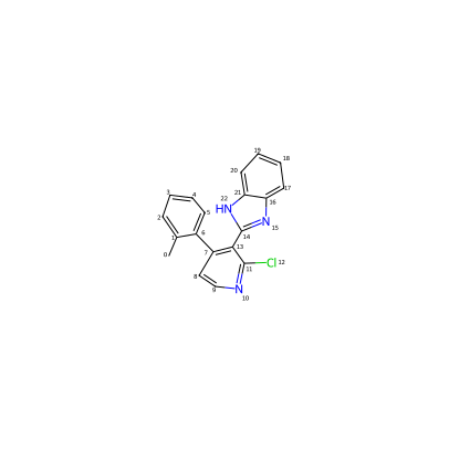 Cc1ccccc1-c1ccnc(Cl)c1-c1nc2ccccc2[nH]1